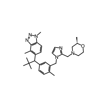 Cc1ccc(C(c2ccc3c(nnn3C)c2C)C(C)(C)C)cc1Cn1ccnc1CN1CCO[C@H](C)C1